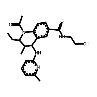 CCC1C(C)C(Nc2cccc(C)n2)c2cc(C(=O)NCCO)ccc2N1C(C)=O